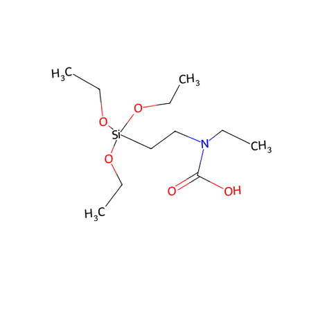 CCO[Si](CCN(CC)C(=O)O)(OCC)OCC